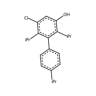 CC(C)c1ccc(-c2c(C(C)C)c(O)cc(Cl)c2C(C)C)cc1